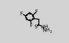 NNC(=S)Cc1c(F)cc(F)cc1F